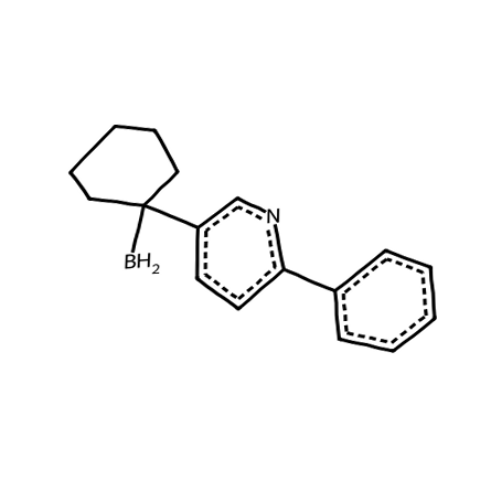 BC1(c2ccc(-c3ccccc3)nc2)CCCCC1